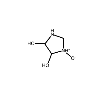 [O-][NH+]1CNC(O)C1O